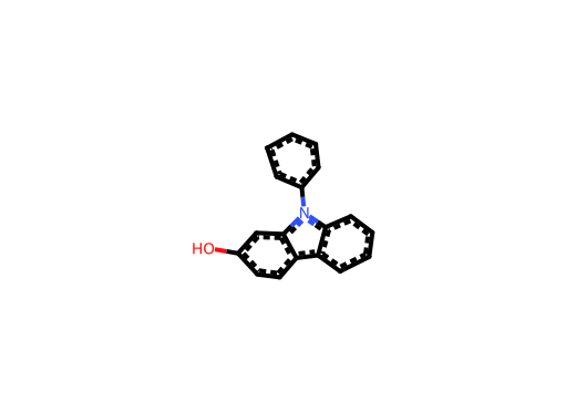 Oc1ccc2c3ccccc3n(-c3ccccc3)c2c1